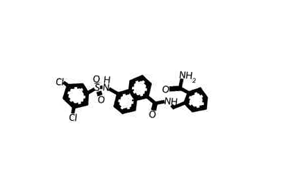 NC(=O)c1ccccc1CNC(=O)c1cccc2c(NS(=O)(=O)c3cc(Cl)cc(Cl)c3)cccc12